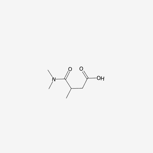 CC(CC(=O)O)C(=O)N(C)C